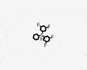 Fc1cc(F)cc([SH](c2ccccc2)c2cc(F)cc(F)c2)c1